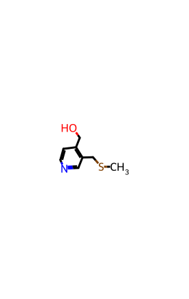 CSCc1cnccc1CO